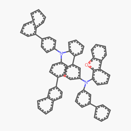 c1ccc(-c2cccc(N(c3cccc(-c4ccccc4N(c4ccc(-c5ccc6ccccc6c5)cc4)c4ccc(-c5cccc6ccccc56)cc4)c3)c3cccc4c3oc3ccccc34)c2)cc1